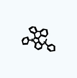 CN(c1ccccc1)c1cccc2c1c1c3ccccc3c3ccccc3c1n2-c1ccccc1